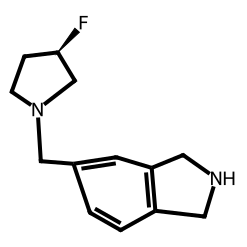 F[C@@H]1CCN(Cc2ccc3c(c2)CNC3)C1